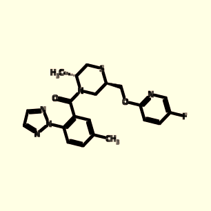 Cc1ccc(-n2nccn2)c(C(=O)N2C[C@H](COc3ccc(F)cn3)SC[C@H]2C)c1